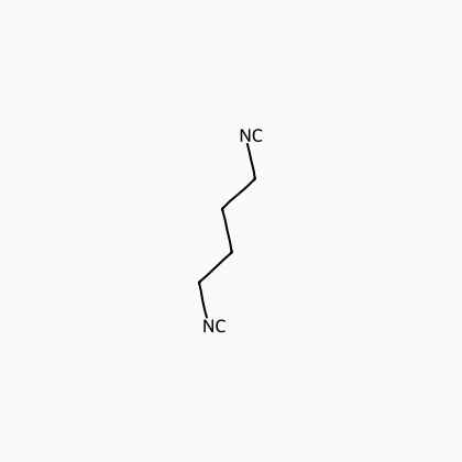 [C-]#[N+]CCCC[N+]#[C-]